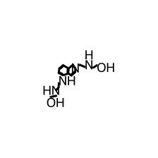 OCCNCCNc1cccc2c1C=CN(CCNCCO)C2